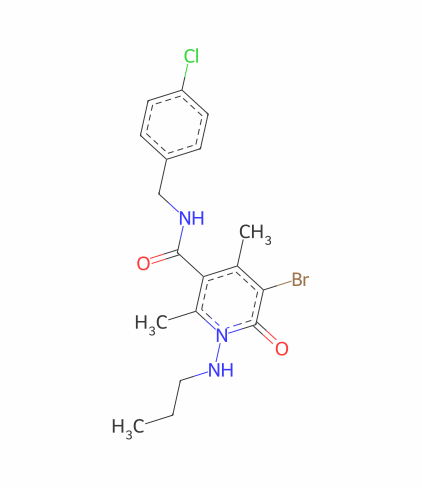 CCCNn1c(C)c(C(=O)NCc2ccc(Cl)cc2)c(C)c(Br)c1=O